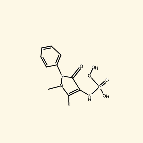 Cc1c(NP(=O)(O)OO)c(=O)n(-c2ccccc2)n1C